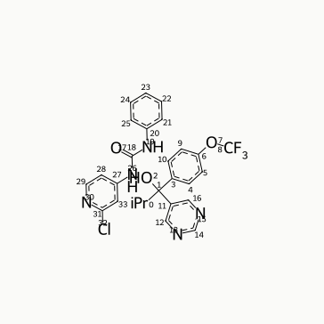 CC(C)C(O)(c1ccc(OC(F)(F)F)cc1)c1cncnc1.O=C(Nc1ccccc1)Nc1ccnc(Cl)c1